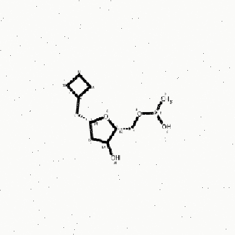 CP(O)OC[C@H]1O[C@@H](CC2CCC2)CC1O